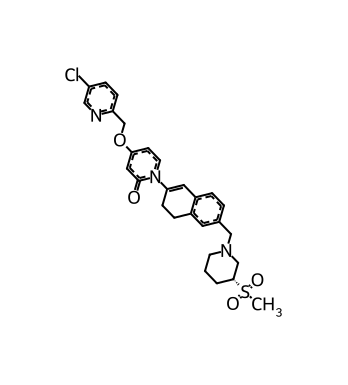 CS(=O)(=O)[C@@H]1CCCN(Cc2ccc3c(c2)CCC(n2ccc(OCc4ccc(Cl)cn4)cc2=O)=C3)C1